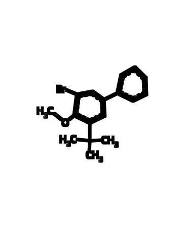 COc1c(Br)cc(-c2ccccc2)cc1C(C)(C)C